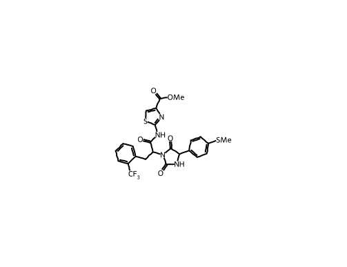 COC(=O)c1csc(NC(=O)C(Cc2ccccc2C(F)(F)F)N2C(=O)NC(c3ccc(SC)cc3)C2=O)n1